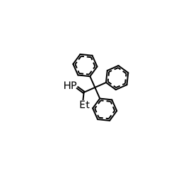 CCC(=P)C(c1ccccc1)(c1ccccc1)c1ccccc1